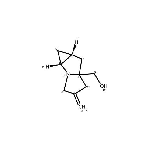 C=C1CN2[C@@H]3C[C@@H]3CC2(CO)C1